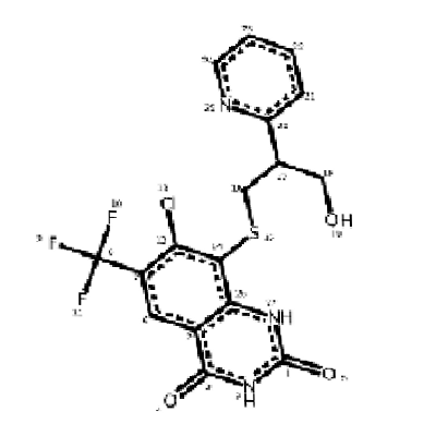 O=c1[nH]c(=O)c2cc(C(F)(F)F)c(Cl)c(SCC(CO)c3ccccn3)c2[nH]1